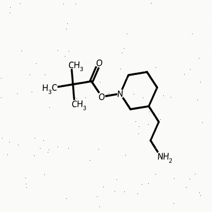 CC(C)(C)C(=O)ON1CCCC(CCN)C1